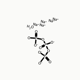 O.O=P([O-])([O-])OP(=O)([O-])OP(=O)([O-])[O-].[Na+].[Na+].[Na+].[Na+].[Na+]